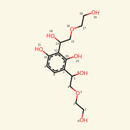 OCCOCC(O)c1ccc(O)c(C(O)COCCO)c1O